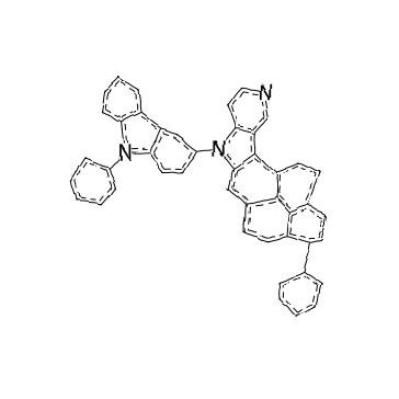 c1ccc(-c2ccc3ccc4c5c(ccc2c35)cc2c4c3cnccc3n2-c2ccc3c(c2)c2ccccc2n3-c2ccccc2)cc1